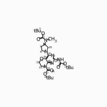 CN(C(=O)OC(C)(C)C)[C@@H]1CCN(c2nc(NC(=O)OC(C)(C)C)nc3c2OCCN3C(=O)OC(C)(C)C)C1